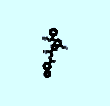 C1CC2CC1O2.COC(c1ccccc1)n1cnc(N)c2nc(C(C)COC(F)c3ccccc3)nc1-2